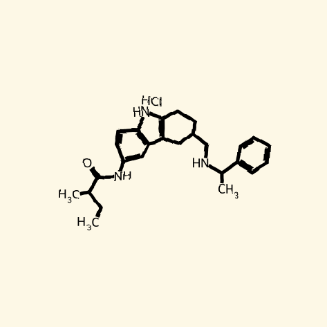 CCC(C)C(=O)Nc1ccc2[nH]c3c(c2c1)CC(CNC(C)c1ccccc1)CC3.Cl